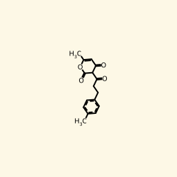 CC1=CC(=O)C(C(=O)CCc2ccc(C)cc2)C(=O)O1